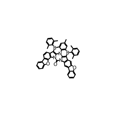 Cc1cc2c3c(c1)B(c1c(C)cccc1C)c1c4ccc5c6ccccc6oc5c4n4c(=O)n5c6cc7c(cc6c(c5n-3c14)B2c1c(C)cccc1C)oc1ccccc17